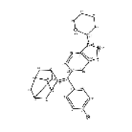 Brc1ccc(C(=C2C3CC4CC(C3)CC2C4)c2ccc3c(cnn3C3CCCCO3)c2)cc1